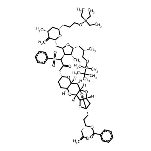 C=C(Br)C[C@H](CC[C@@]12C[C@H]3O[C@H]4[C@@H](O1)[C@H]1O[C@@H](CC(=O)C([C@H]5C(C[C@H]6O[C@@H](CCCO[Si](CC)(CC)CC)C[C@@H](C)C6=C)O[C@H](C[C@H](C)CO[Si](C)(C)C(C)(C)C)[C@@H]5C)S(=O)(=O)c5ccccc5)CC[C@@H]1O[C@H]4[C@H]3O2)OC(=O)c1ccccc1